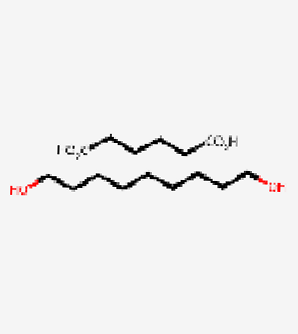 O=C(O)CCCCC(=O)O.OCCCCCCCCCO